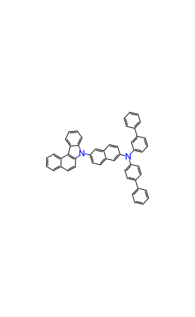 c1ccc(-c2ccc(N(c3cccc(-c4ccccc4)c3)c3ccc4cc(-n5c6ccccc6c6c7ccccc7ccc65)ccc4c3)cc2)cc1